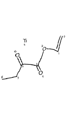 C=COC(=O)C(=O)CC.[Ti]